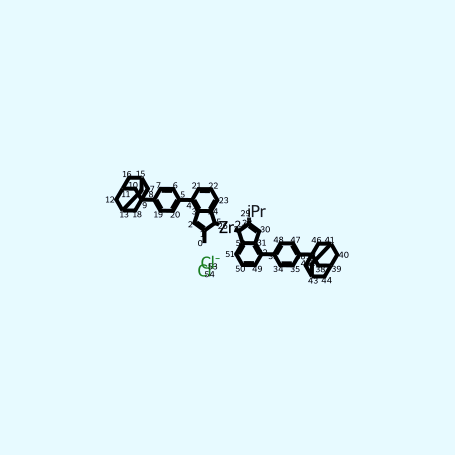 CC1=Cc2c(-c3ccc(C45CC6CC(CC(C6)C4)C5)cc3)cccc2[CH]1[Zr+2][CH]1C(C(C)C)=Cc2c(-c3ccc(C45CC6CC(CC(C6)C4)C5)cc3)cccc21.[Cl-].[Cl-]